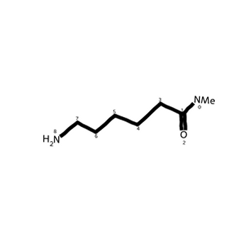 CNC(=O)[CH]CCCCN